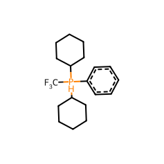 FC(F)(F)[PH](c1ccccc1)(C1CCCCC1)C1CCCCC1